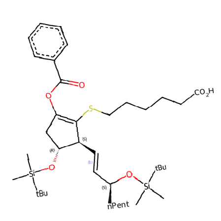 CCCCC[C@@H](/C=C/[C@@H]1C(SCCCCCC(=O)O)=C(OC(=O)c2ccccc2)C[C@H]1O[Si](C)(C)C(C)(C)C)O[Si](C)(C)C(C)(C)C